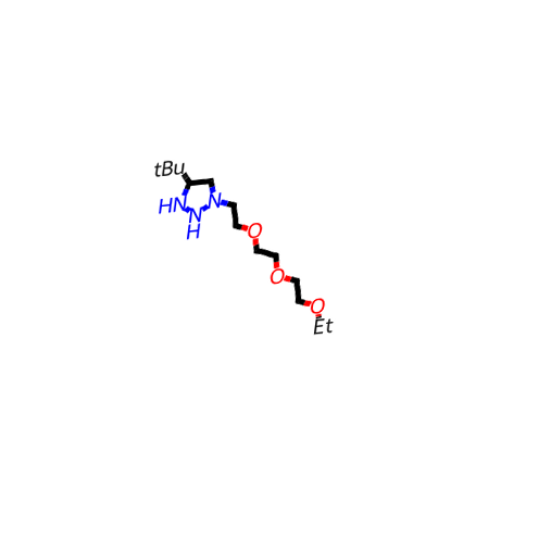 CCOCCOCCOCCN1CC(C(C)(C)C)NN1